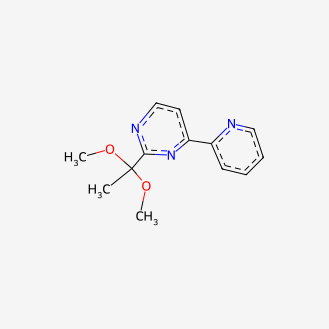 COC(C)(OC)c1nccc(-c2ccccn2)n1